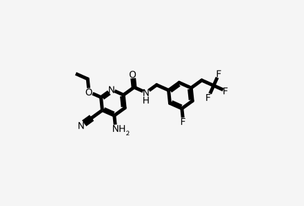 CCOc1nc(C(=O)NCc2cc(F)cc(CC(F)(F)F)c2)cc(N)c1C#N